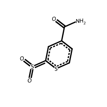 NC(=O)c1ccsc(=S(=O)=O)c1